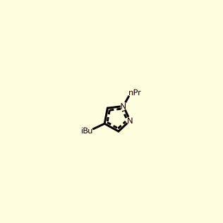 CCCn1cc(C(C)CC)cn1